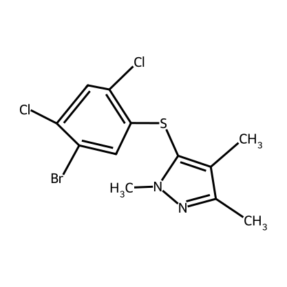 Cc1nn(C)c(Sc2cc(Br)c(Cl)cc2Cl)c1C